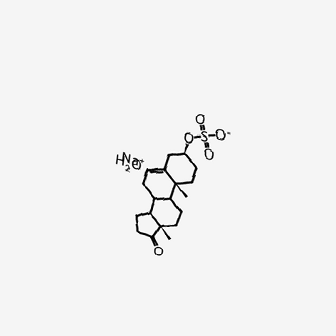 C[C@]12CC[C@H](OS(=O)(=O)[O-])CC1=CCC1C2CC[C@]2(C)C(=O)CCC12.O.[Na+]